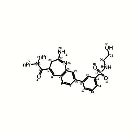 CCCN(CCC)C(=O)C1=Cc2ccc(-c3cccc(S(=O)(=O)NCCO)c3)cc2N=C(N)C1